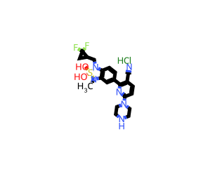 CN1c2cc(-c3nc(N4CCNCC4)ccc3C#N)ccc2N(CC2CC2(F)F)S1(O)O.Cl